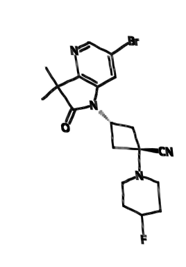 CC1(C)C(=O)N([C@H]2C[C@@](C#N)(N3CCC(F)CC3)C2)c2cc(Br)cnc21